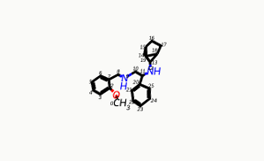 COc1ccccc1CNCC(NC1CC2CCC1C2)c1ccccc1